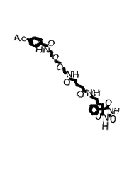 CC(=O)c1ccc(C(=O)NCCOCCOCCNC(=O)CCCC(=O)NCCCCC2(c3ccccc3)C(=O)NC(=O)NC2=O)cc1